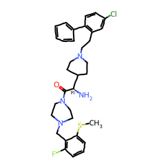 CSc1cccc(F)c1CN1CCN(C(=O)[C@H](N)C2CCN(CCc3cc(Cl)ccc3-c3ccccc3)CC2)CC1